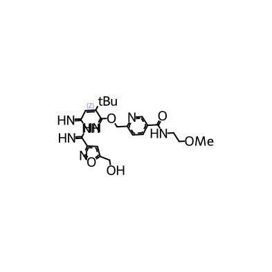 COCCNC(=O)c1ccc(COC(=N)/C(=C\C(=N)NC(=N)c2cc(CO)on2)C(C)(C)C)nc1